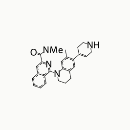 CNC(=O)c1cc2ccccc2c(N2CCCc3cc(C4=CCNCC4)c(C)cc32)n1